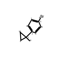 CC1(c2ccc(Br)cc2)CC1